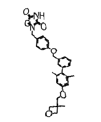 Cc1cc(OCC2(C)COC2)cc(C)c1-c1cccc(COc2ccc(Cn3oc(=O)[nH]c3=O)cc2)c1